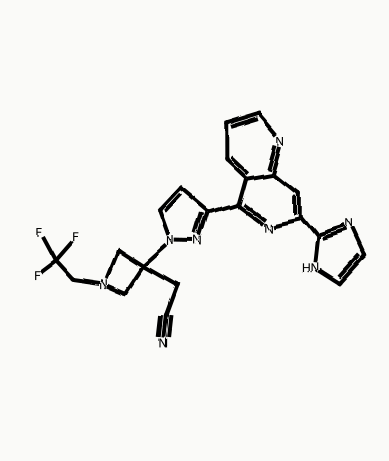 N#CCC1(n2ccc(-c3nc(-c4ncc[nH]4)cc4ncccc34)n2)CN(CC(F)(F)F)C1